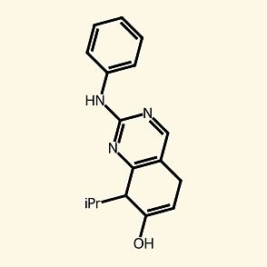 CC(C)C1C(O)=CCc2cnc(Nc3ccccc3)nc21